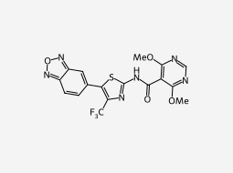 COc1ncnc(OC)c1C(=O)Nc1nc(C(F)(F)F)c(-c2ccc3nonc3c2)s1